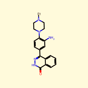 CCN1CCN(c2ccc(-c3n[nH]c(=O)c4ccccc34)cc2N)CC1